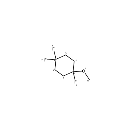 COC1(F)CCC(F)(F)CC1